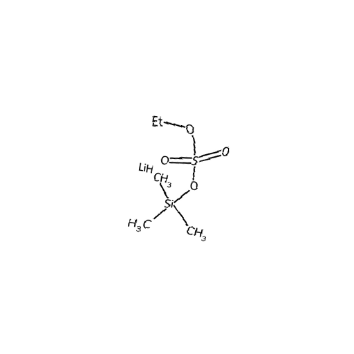 CCOS(=O)(=O)O[Si](C)(C)C.[LiH]